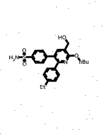 CCCCOc1nc(-c2ccc(CC)cc2)c(-c2ccc(S(N)(=O)=O)cc2)cc1CO